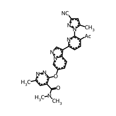 CC(=O)c1ccc(-c2cnn3cc(Oc4nnc(C)cc4C(=O)N(C)C)ccc23)nc1-n1nc(C#N)cc1C